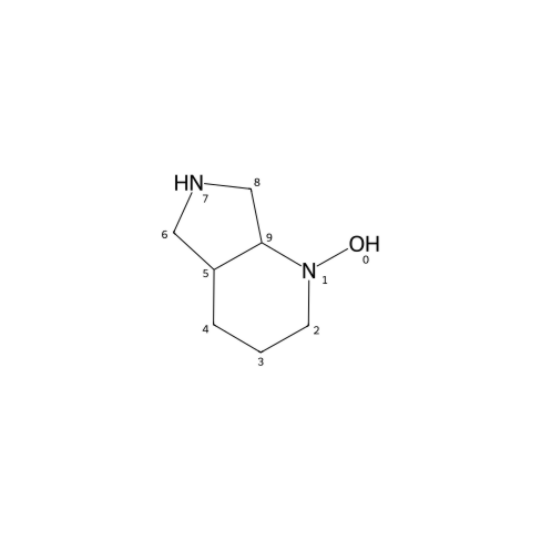 ON1CCCC2CNCC21